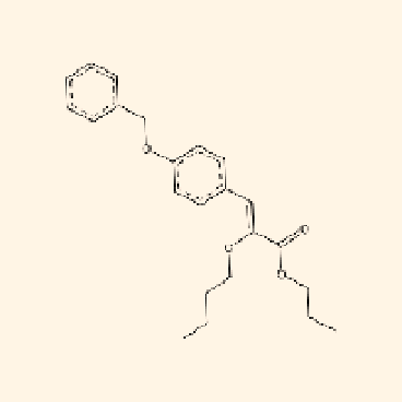 CCCCOC(=Cc1ccc(OCc2ccccc2)cc1)C(=O)OCCC